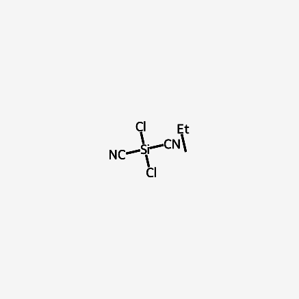 CCC.N#C[Si](Cl)(Cl)C#N